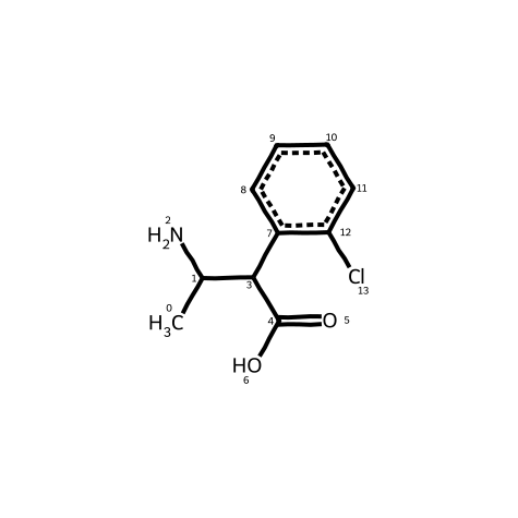 CC(N)C(C(=O)O)c1ccccc1Cl